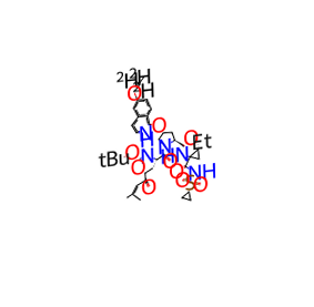 [2H]C([2H])([2H])Oc1ccc2c(O[C@@H]3C[C@@H](C(=O)N[C@]4(C(=O)NS(=O)(=O)C5CC5)C[C@H]4CC)N(C(=O)[C@H](CCC(=O)C=C(C)C)NC(=O)OC(C)(C)C)C3)nccc2c1